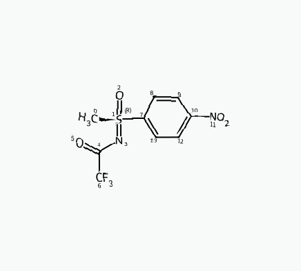 C[S@](=O)(=NC(=O)C(F)(F)F)c1ccc([N+](=O)[O-])cc1